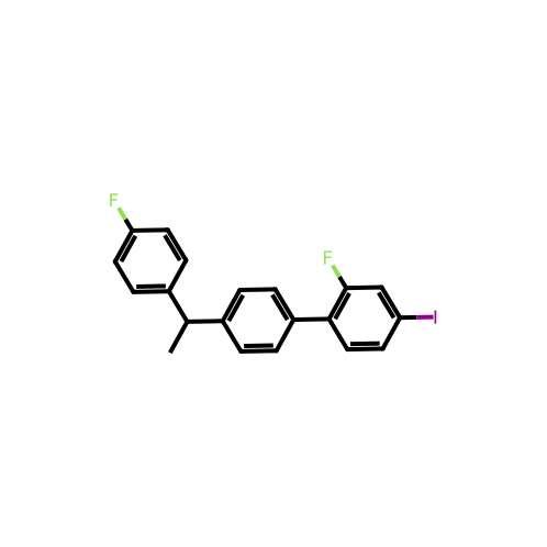 CC(c1ccc(F)cc1)c1ccc(-c2ccc(I)cc2F)cc1